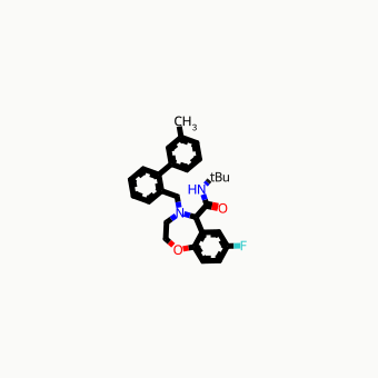 Cc1cccc(-c2ccccc2CN2CCOc3ccc(F)cc3C2C(=O)NC(C)(C)C)c1